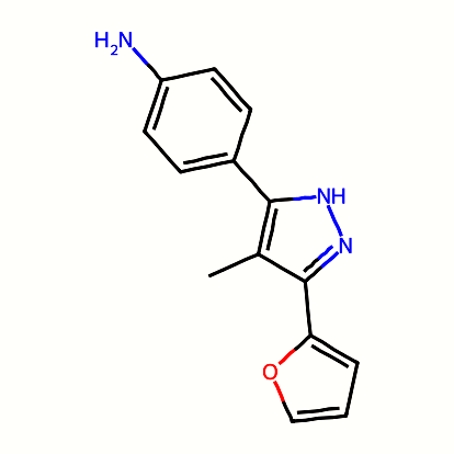 Cc1c(-c2ccco2)n[nH]c1-c1ccc(N)cc1